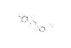 CCOC(=O)/C(=C/Nc1cccc(C#N)c1)C(=O)c1ccc(C)cc1